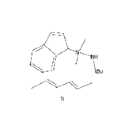 CC(C)(C)N[Si](C)(C)C1C=Cc2ccccc21.CC=CC=CC.[Ti]